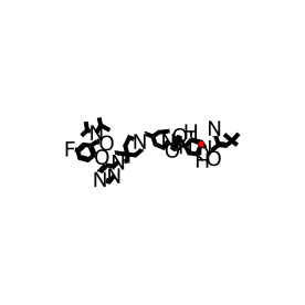 CC(C)N(C(=O)c1cc(F)ccc1Oc1cncnc1N1CC2(CCN(CC3CCN(S(=O)(=O)N4C[C@@H]5C[C@H]4CN5C(=O)/C(C#N)=C/C(C)(C)C)CC3)CC2)C1)C(C)C